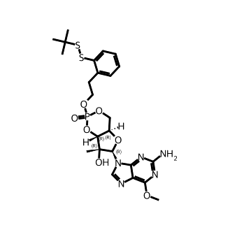 COc1nc(N)nc2c1ncn2[C@@H]1O[C@@H]2COP(=O)(OCCc3ccccc3SSC(C)(C)C)O[C@H]2[C@@]1(C)O